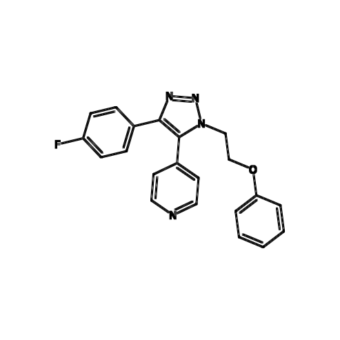 Fc1ccc(-c2nnn(CCOc3ccccc3)c2-c2ccncc2)cc1